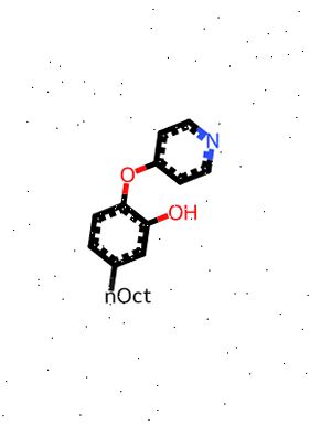 CCCCCCCCc1ccc(Oc2ccncc2)c(O)c1